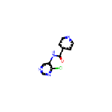 O=C(Nc1cncnc1Cl)c1ccncc1